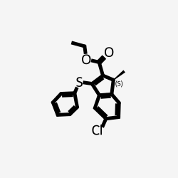 CCOC(=O)C1=C(Sc2ccccc2)c2cc(Cl)ccc2[C@@H]1C